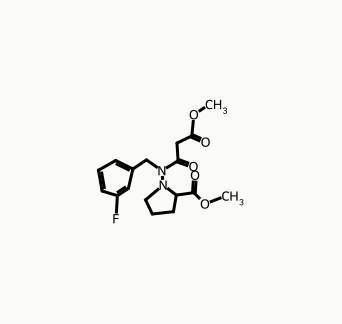 COC(=O)CC(=O)N(Cc1cccc(F)c1)N1CCCC1C(=O)OC